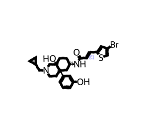 O=C(/C=C/c1cc(Br)cs1)N[C@@H]1CC[C@]2(O)CN(CC3CC3)CC[C@@]2(c2cccc(O)c2)C1